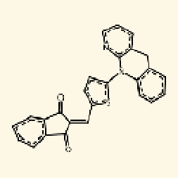 O=C1C(=Cc2ccc(N3c4ccccc4Cc4cccnc43)s2)C(=O)c2ccccc21